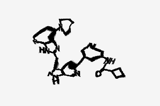 O=C(Nc1cncc(-c2cc3c(-c4nc5c(N6CCCCC6)ccnc5[nH]4)n[nH]c3cn2)c1)C1CCC1